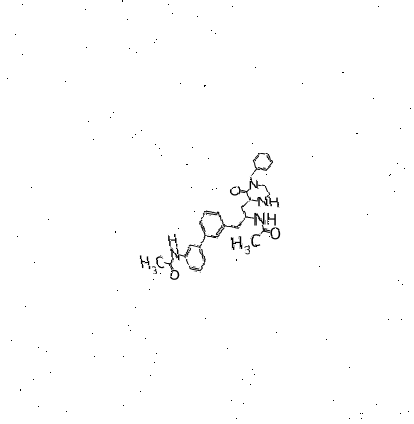 CC(=O)Nc1cccc(-c2cccc(C[C@@H](C[C@@H]3NCCN(Cc4ccccc4)C3=O)NC(C)=O)c2)c1